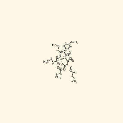 CCCC(=O)OC[C@@H]1[C@@H](OC(=O)CCC)[C@H](OC(=O)CCC)[C@H](OC(=O)CCC)C2N(Cc3ccc(OC)cc3)C(=O)C(=O)N21